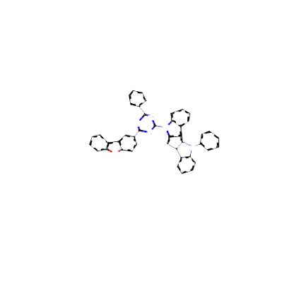 C1=c2c(c3ccccc3n2-c2nc(-c3ccccc3)nc(-c3ccc4oc5ccccc5c4c3)n2)=C2C1c1ccccc1N2c1ccccc1